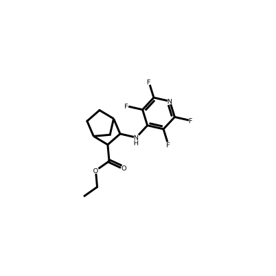 CCOC(=O)C1C2CCC(C2)C1Nc1c(F)c(F)nc(F)c1F